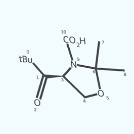 CC(C)(C)C(=O)[C@@H]1COC(C)(C)N1C(=O)O